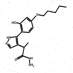 CCCCCOc1ccc(-c2[nH]ncc2C(C)C(=O)NN)c(O)c1